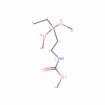 CC[Si](CCNC(=O)OC)(OC)OC